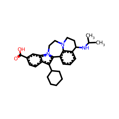 CC(C)NC1CCN2CCn3c(c(C4CCCCC4)c4ccc(C(=O)O)cc43)-c3cccc1c32